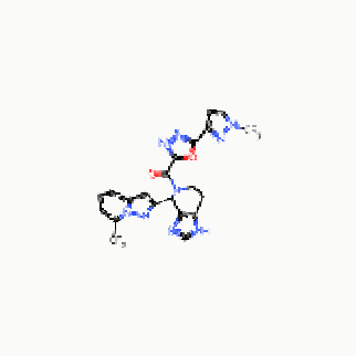 O=C(c1nnc(-c2ccn(C(F)(F)F)n2)o1)N1CCc2[nH]cnc2C1c1cc2cccc(C(F)(F)F)n2n1